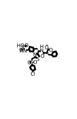 COC(=O)[C@@H](Cc1ccccc1)C(=O)N[C@@H](Cc1ccc(NS(=O)(=O)O)cc1)c1csc(CS(=O)(=O)c2ccc(Cl)cc2)n1